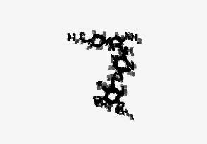 CCN1CCC(n2cc(N)c(Nc3ncc(OCc4c(F)c(OC)cc(OC)c4F)cn3)n2)CC1